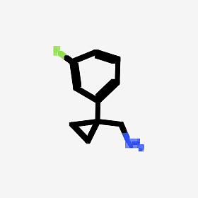 NCC1(c2cccc(F)c2)CC1